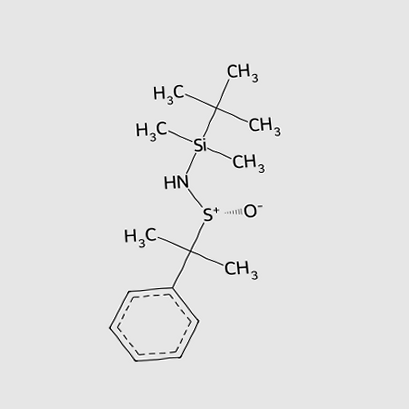 CC(C)(c1ccccc1)[S@@+]([O-])N[Si](C)(C)C(C)(C)C